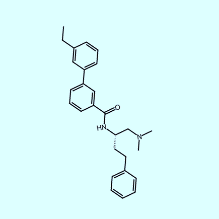 CCc1cccc(-c2cccc(C(=O)N[C@@H](CCc3ccccc3)CN(C)C)c2)c1